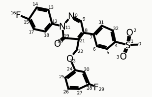 CS(=O)(=O)c1ccc(-c2cnn(-c3ccc(F)cc3)c(=O)c2COc2cccc(F)c2)cc1